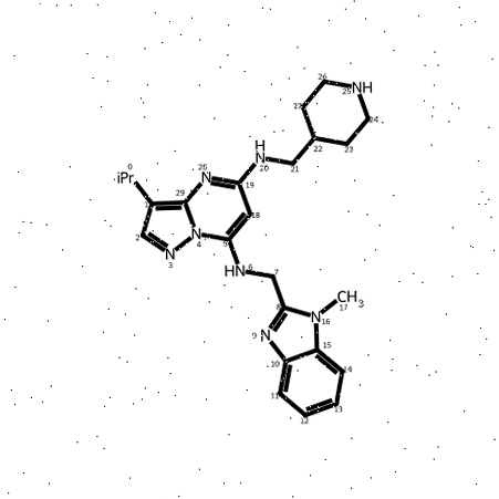 CC(C)c1cnn2c(NCc3nc4ccccc4n3C)cc(NCC3CCNCC3)nc12